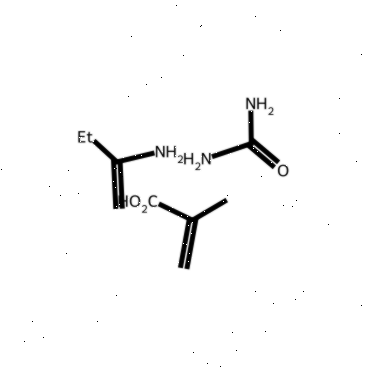 C=C(C)C(=O)O.C=C(N)CC.NC(N)=O